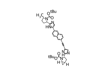 CC1CCC(c2ncc(-c3ccc4cc(C#Cc5cnc([C@@H]6C[C@H]7C[C@H]7N6C(=O)OC(C)(C)C)[nH]5)ccc4c3)[nH]2)N1C(=O)OC(C)(C)C